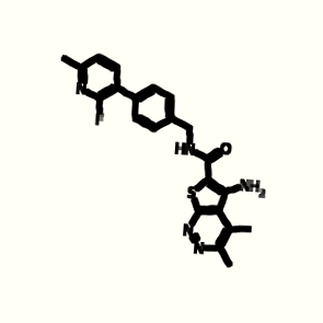 Cc1ccc(-c2ccc(CNC(=O)c3sc4nnc(C)c(C)c4c3N)cc2)c(F)n1